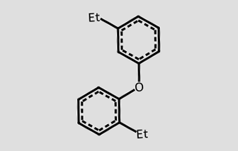 CCc1cccc(Oc2ccccc2CC)c1